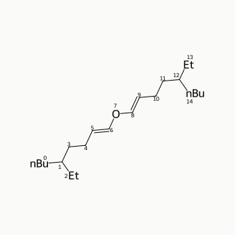 CCCCC(CC)CCC=COC=CCCC(CC)CCCC